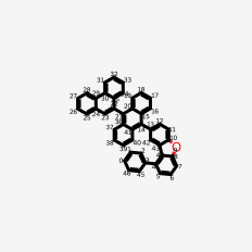 c1ccc(-c2cccc3oc4ccc(-c5c6ccccc6c(-c6cc7ccccc7c7ccccc67)c6ccccc56)cc4c23)cc1